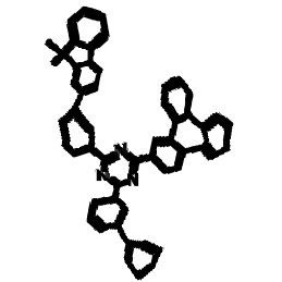 CC1(C)c2ccccc2-c2ccc(-c3cccc(-c4nc(-c5cccc(-c6ccccc6)c5)nc(-c5ccc6c7ccccc7c7ccccc7c6c5)n4)c3)cc21